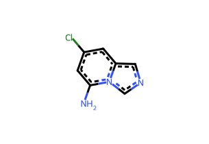 Nc1cc(Cl)cc2cncn12